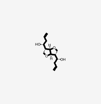 C=CC[C@@H](O)[C@H]1CO[C@@H]2[C@@H]([C@H](O)CC=C)CO[C@H]12